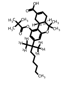 [2H]C([2H])([2H])C(CCCCCC)(c1cc(OC(=O)C(C)(C)C)c2c(c1)OC(C)(C)[C@@H]1CC=C(C(=O)O)C[C@@H]21)C([2H])([2H])[2H]